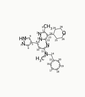 Cc1nn2c(-c3cn[nH]c3)cc(N(C)Cc3ccccc3)nc2c1C1CCOCC1